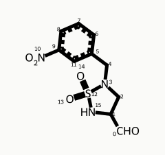 O=CC1CN(Cc2cccc([N+](=O)[O-])c2)S(=O)(=O)N1